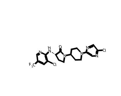 O=C1[C@@H](Nc2ncc(C(F)(F)F)cc2Cl)CCN1C1CCN(c2cnc(Cl)cn2)CC1